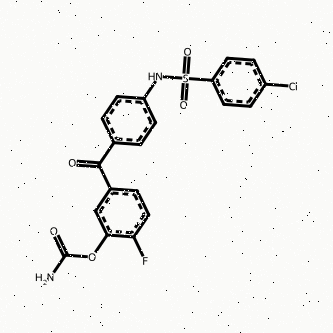 NC(=O)Oc1cc(C(=O)c2ccc(NS(=O)(=O)c3ccc(Cl)cc3)cc2)ccc1F